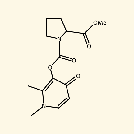 COC(=O)C1CCCN1C(=O)Oc1c(C)n(C)ccc1=O